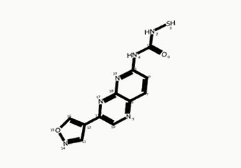 O=C(NS)Nc1ccc2ncc(-c3cnoc3)nc2n1